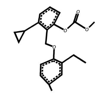 CCc1cc(C)ccc1OCc1c(OC(=O)OC)cccc1C1CC1